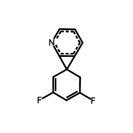 FC1=CC2(CC(F)=C1)c1cccnc12